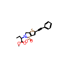 CCC(C(=O)OC)N1Cc2sc(C#Cc3ccccc3)cc2S1(=O)=O